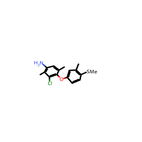 CSc1ccc(Oc2c(C)cc(N)c(C)c2Cl)cc1C